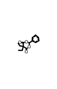 CCC1(CC)C(=O)OC(c2ccccc2)OC1=O